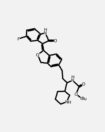 CC(C)(C)OC(=O)NC(CCc1ccc2c(c1)COC2=C1C(=O)Nc2ccc(F)cc21)C1CCCNC1